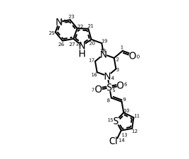 O=CC1CN(S(=O)(=O)C=Cc2ccc(Cl)s2)CCN1Cc1cc2cnccc2[nH]1